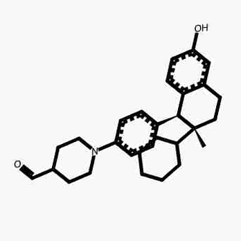 C[C@]1(C2CCCCC2)CCc2cc(O)ccc2[C@@H]1c1ccc(N2CCC(C=O)CC2)cc1